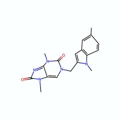 Cc1ccc2c(c1)cc(Cn1cc3n(C)c(=O)nc-3n(C)c1=O)n2C